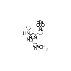 Cn1cc(-c2cnn3c(NC4CCCC4)cc(C4CCCN(C(=O)OC(C)(C)C)C4)nc23)cn1